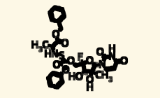 C[C@H](NSP(=O)(OC[C@@]1(F)O[C@@H](n2ccc(=O)[nH]c2=O)[C@](C)(O)[C@@H]1O)Oc1ccccc1)C(=O)OCc1ccccc1